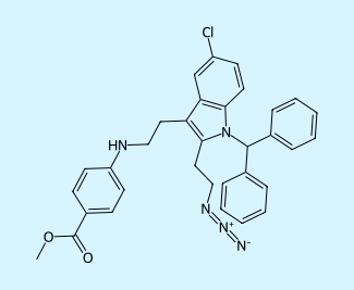 COC(=O)c1ccc(NCCc2c(CCN=[N+]=[N-])n(C(c3ccccc3)c3ccccc3)c3ccc(Cl)cc23)cc1